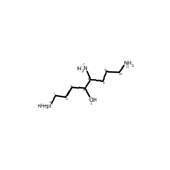 CCCCCCCCCCC(O)C(N)CCCN